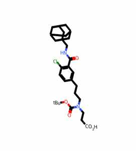 CC(C)(C)OC(=O)N(CCCc1ccc(Cl)c(C(=O)NCC23CC4CC(CC(C4)C2)C3)c1)CCC(=O)O